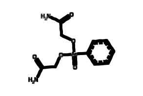 NC(=O)CO[As](=O)(OCC(N)=O)c1ccccc1